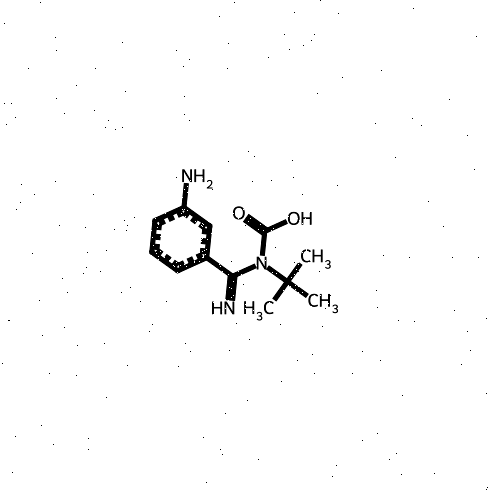 CC(C)(C)N(C(=N)c1cccc(N)c1)C(=O)O